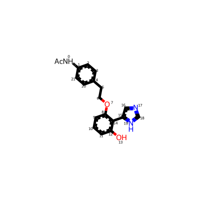 CC(=O)Nc1ccc(CCOc2cccc(O)c2-c2cnc[nH]2)cc1